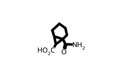 NC(=O)C12CCCCC1C2C(=O)O